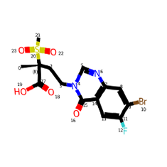 C[C@@](CCn1cnc2cc(Br)c(F)cc2c1=O)(C(=O)O)S(C)(=O)=O